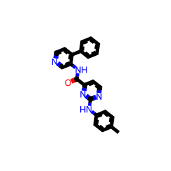 Cc1ccc(Nc2nccc(C(=O)Nc3cnccc3-c3ccccc3)n2)cc1